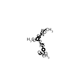 CCc1nn2cc(-c3cc4c(OCc5csc(-c6ccc(C(=O)N(C)C7CCOC7)cc6)n5)cc(OC)cc4o3)nc2o1